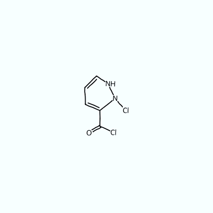 O=C(Cl)C1=CC=CNN1Cl